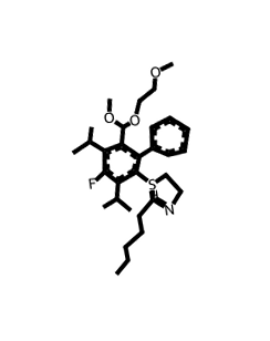 CCCCCC1=NCC[SH]1c1c(-c2ccccc2)c(C(OC)OCCOC)c(C(C)C)c(F)c1C(C)C